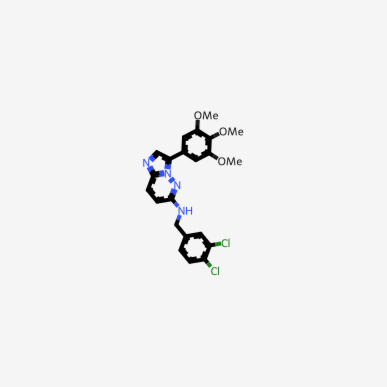 COc1cc(-c2cnc3ccc(NCc4ccc(Cl)c(Cl)c4)nn23)cc(OC)c1OC